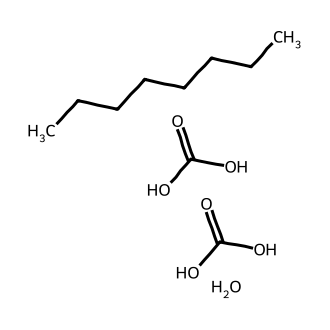 CCCCCCCC.O.O=C(O)O.O=C(O)O